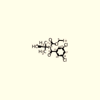 C#CC(C)(C)N(C(=O)OCI)C(=O)c1cc(Cl)cc(Cl)c1